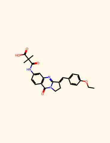 CCOc1ccc(/C=C2\CCn3c2nc2cc(NC(=O)C(C)(C)C(=O)O)ccc2c3=O)cc1